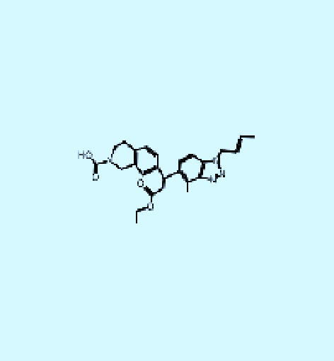 CC=CCn1nnc2c(C)c(C(CC(=O)OCC)c3ccc4c(c3)CN(C(=O)O)CC4)ccc21